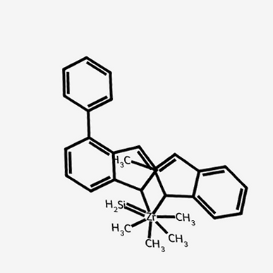 CC1=Cc2ccccc2[CH]1[Zr]([CH3])([CH3])([CH3])([CH3])(=[SiH2])[CH]1C=Cc2c(-c3ccccc3)cccc21